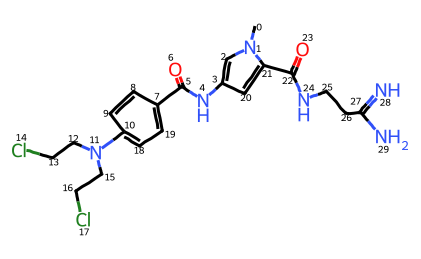 Cn1cc(NC(=O)c2ccc(N(CCCl)CCCl)cc2)cc1C(=O)NCCC(=N)N